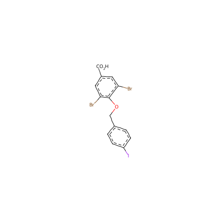 O=C(O)c1cc(Br)c(OCc2ccc(I)cc2)c(Br)c1